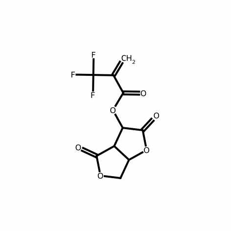 C=C(C(=O)OC1C(=O)OC2COC(=O)C21)C(F)(F)F